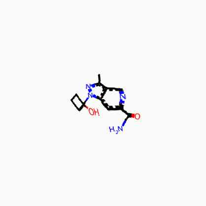 Cc1nn(C2(O)CCC2)c2cc(C(N)=O)ncc12